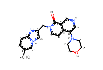 O=Cc1ccc2nc(Cn3ccc4c(N5CCOCC5)cncc4c3=O)cn2c1